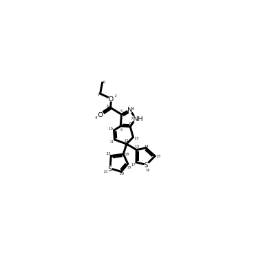 CCOC(=O)c1n[nH]c2c1C=CC(c1ccsc1)(c1ccsc1)C2